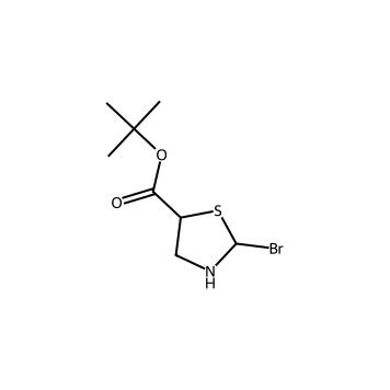 CC(C)(C)OC(=O)C1CNC(Br)S1